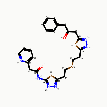 O=C(Cc1ccccc1)Cc1nnc(CCSCCc2nnc(NC(=O)Cc3ccccn3)s2)s1